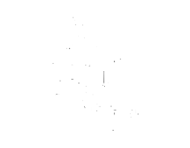 CN1CCC2(CC1)C(=O)N(CC(C)(C)O)c1cccc(F)c12